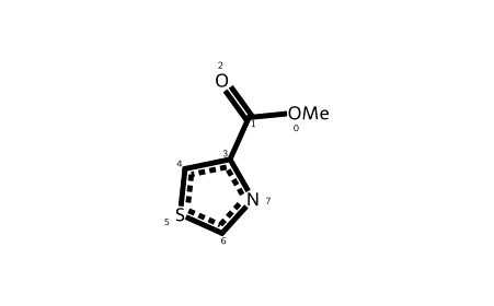 [CH2]OC(=O)c1cscn1